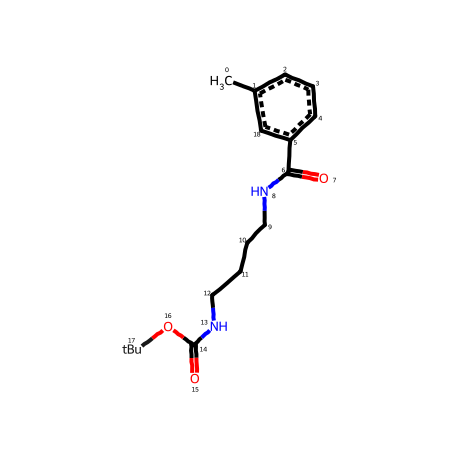 Cc1cccc(C(=O)NCCCCNC(=O)OC(C)(C)C)c1